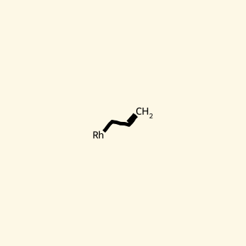 C=C[CH2][Rh]